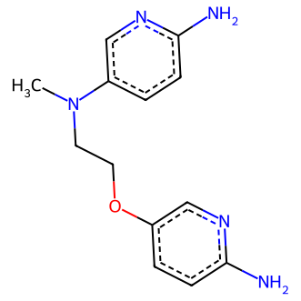 CN(CCOc1ccc(N)nc1)c1ccc(N)nc1